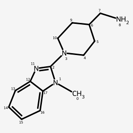 Cn1c(N2CCC(CN)CC2)nc2ccccc21